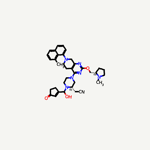 Cc1cccc2cccc(N3CCc4c(nc(OC[C@@H]5CCCN5C)nc4N4CCN(C(O)C5=CC(=O)CC5)[C@@H](CC#N)C4)C3)c12